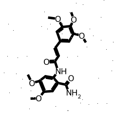 COc1cc(NC(=O)C=Cc2cc(OC)c(OC)c(OC)c2)c(C(N)=O)cc1OC